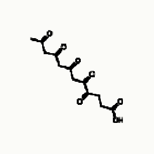 CC(=O)CC(=O)CC(=O)CC(=O)C(=O)CCC(=O)O